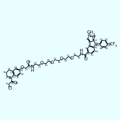 Cn1cc2c3cc(C(=O)NCCOCCOCCOCCOCCNC(=O)COc4ccc5c(c4)CCCN5C(=O)CCl)ccc3n(-c3ccc(C(F)(F)F)cc3)c2n1